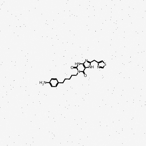 Nc1ccc(CCCCCn2c(=O)[nH]c3nc(Cc4cscn4)[nH]c3c2=O)cc1